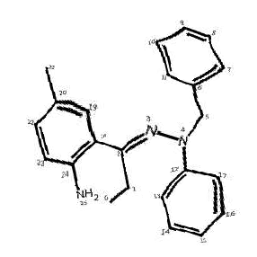 CC/C(=N\N(Cc1ccccc1)c1ccccc1)c1cc(C)ccc1N